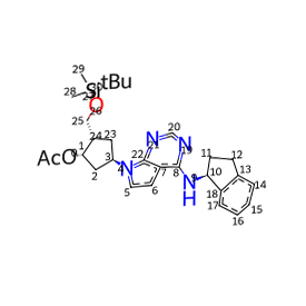 CC(=O)O[C@H]1C[C@H](n2ccc3c(N[C@H]4CCc5ccccc54)ncnc32)C[C@H]1CO[Si](C)(C)C(C)(C)C